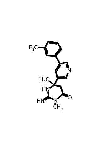 CN1C(=N)N[C@](C)(c2cncc(-c3cccc(C(F)(F)F)c3)c2)CC1=O